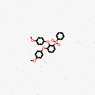 COc1ccc(Oc2cccc(S(=O)(=O)c3ccccc3)c2Oc2ccc(OC)cc2)cc1